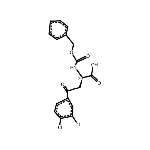 O=C(N[C@H](CC(=O)c1ccc(Cl)c(Cl)c1)C(=O)O)OCc1ccccc1